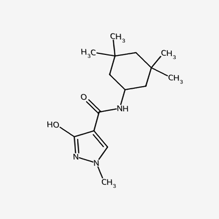 Cn1cc(C(=O)NC2CC(C)(C)CC(C)(C)C2)c(O)n1